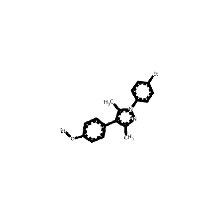 [CH2]Cc1ccc(-n2nc(C)c(-c3ccc(OCC)cc3)c2C)cc1